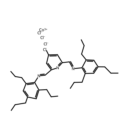 CCCc1cc(CCC)c(N=Cc2cc(Cl)cc(C=Nc3c(CCC)cc(CCC)cc3CCC)n2)c(CCC)c1.[Cl-].[Cl-].[Cl-].[Co+3]